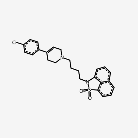 O=S1(=O)c2cccc3cccc(c23)N1CCCCN1CC=C(c2ccc(Cl)cc2)CC1